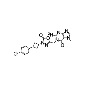 [2H]c1nc2ncn(C)c2c(=O)n1Cc1nn([C@H]2C[C@H](c3ccc(Cl)cc3)C2)c(=O)o1